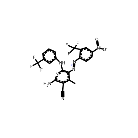 Cc1c(C#N)c(N)nc(Nc2cccc(C(F)(F)F)c2)c1/N=N/c1ccc([N+](=O)[O-])cc1C(F)(F)F